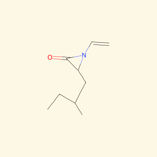 C=CN1C(=O)C1CC(C)CC